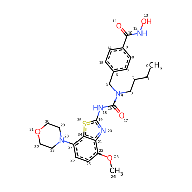 CCCCN(Cc1ccc(C(=O)NO)cc1)C(=O)Nc1nc2c(OC)ccc(N3CCOCC3)c2s1